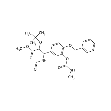 CNC(=O)Oc1cc(C(NC=O)C(OC(C)(C)C)C(=O)OC)ccc1OCc1ccccc1